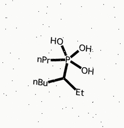 CCCCC(CC)P(O)(O)(O)CCC